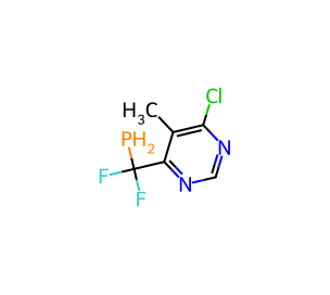 Cc1c(Cl)ncnc1C(F)(F)P